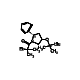 CCC(C)(C)C(=O)N1CC(O[Si](C)(C)C(C)(C)C)C[C@H]1c1ccccc1